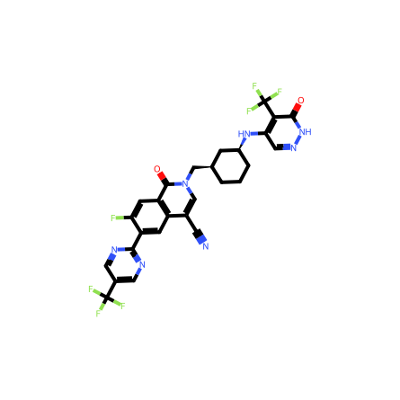 N#Cc1cn(C[C@@H]2CCC[C@H](Nc3cn[nH]c(=O)c3C(F)(F)F)C2)c(=O)c2cc(F)c(-c3ncc(C(F)(F)F)cn3)cc12